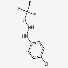 FC(F)(F)ONNc1ccc(Cl)cc1